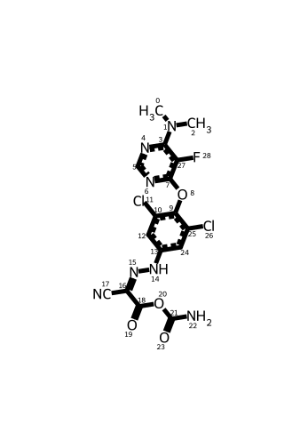 CN(C)c1ncnc(Oc2c(Cl)cc(NN=C(C#N)C(=O)OC(N)=O)cc2Cl)c1F